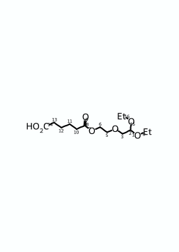 CCOC(COCCOC(=O)CCCCC(=O)O)OCC